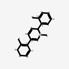 CC1=C(C2=CN(C)C(c3ccccc3C)C=C2)C=CCC1